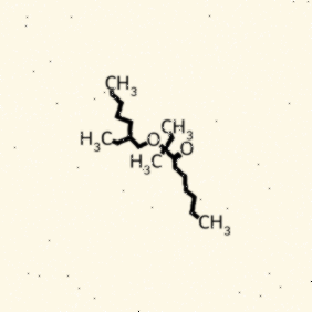 CCCCCCC(=O)C(C)(CC)OCC(CC)CCCCC